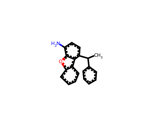 CC(c1ccccc1)c1ccc(N)c2oc3ccccc3c12